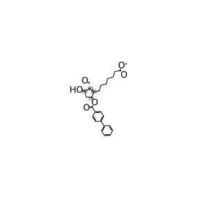 COC(=O)CCCCCC[C@@H]1[C@@H](C=O)[C@H](O)C[C@@H]1OC(=O)c1ccc(-c2ccccc2)cc1